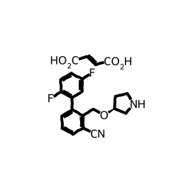 N#Cc1cccc(-c2cc(F)ccc2F)c1CO[C@H]1CCNC1.O=C(O)C=CC(=O)O